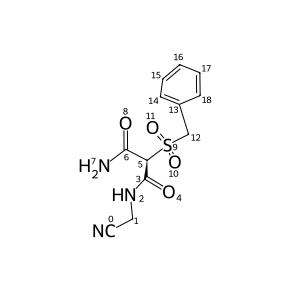 N#CCNC(=O)[C@@H](C(N)=O)S(=O)(=O)Cc1ccccc1